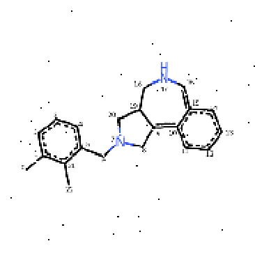 Cc1cccc(CN2CC3=c4ccccc4=CNCC3C2)c1C